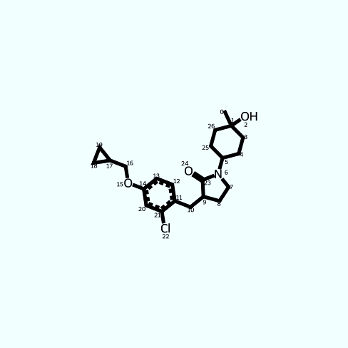 CC1(O)CCC(N2CCC(Cc3ccc(OCC4CC4)cc3Cl)C2=O)CC1